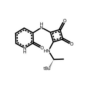 C[C@@H](Nc1c(Nc2ccc[nH]c2=O)c(=O)c1=O)C(C)(C)C